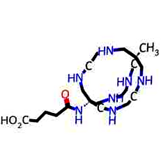 C[C@]12CNCCNC[C@](NC(=O)CCCC(=O)O)(CNCCNC1)CNCCNC2